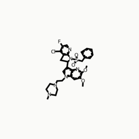 COc1cc2c(nc1OC)c(C1Cc3c(ncc(F)c3Cl)N1S(=O)(=O)Cc1ccccc1)cn2CCN1CCN(C)CC1